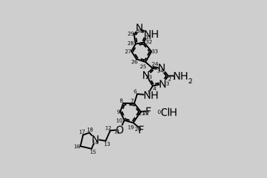 Cl.Nc1nc(NCc2ccc(OCCN3CCCC3)c(F)c2F)nc(-c2ccc3cn[nH]c3c2)n1